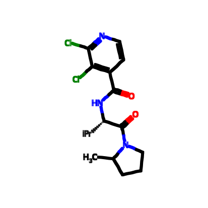 CC(C)[C@H](NC(=O)c1ccnc(Cl)c1Cl)C(=O)N1CCCC1C